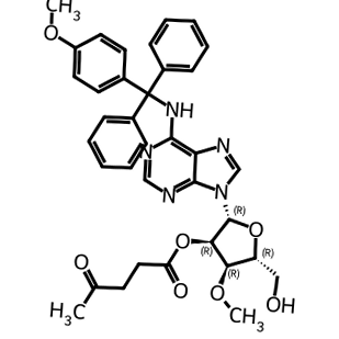 COc1ccc(C(Nc2ncnc3c2ncn3[C@@H]2O[C@H](CO)[C@@H](OC)[C@H]2OC(=O)CCC(C)=O)(c2ccccc2)c2ccccc2)cc1